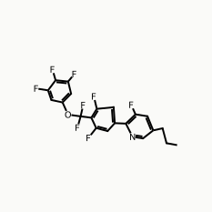 CCCc1cnc(-c2cc(F)c(C(F)(F)Oc3cc(F)c(F)c(F)c3)c(F)c2)c(F)c1